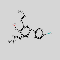 CCOC(=O)C=Cc1cc(-c2ccc(F)cc2)cc(C=CC(=O)OCC)c1CO